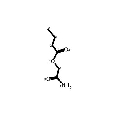 CCCC(=O)OCC(N)=O